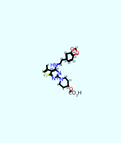 Cc1csc2nc(N3CCC(OC(=O)O)CC3)nc(NCCc3ccc4c(c3)OCO4)c12